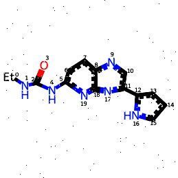 CCNC(=O)Nc1ccc2ncc(-c3ccc[nH]3)nc2n1